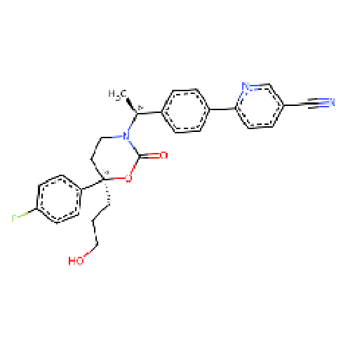 C[C@@H](c1ccc(-c2ccc(C#N)cn2)cc1)N1CC[C@](CCCO)(c2ccc(F)cc2)OC1=O